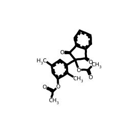 CC(=O)Oc1cc(C)cc(C2(OC(C)=O)C(=O)c3ccccc3C2=O)c1C